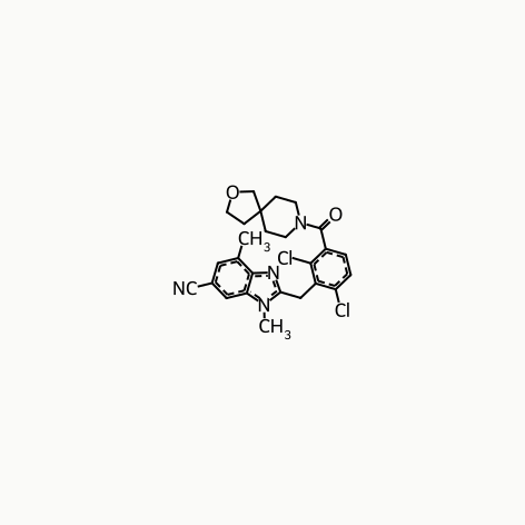 Cc1cc(C#N)cc2c1nc(Cc1c(Cl)ccc(C(=O)N3CCC4(CCOC4)CC3)c1Cl)n2C